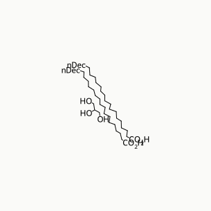 CCCCCCCCCCCCCCCCCCCCCCCCCCC(=O)O.CCCCCCCCCCCCCCCCCCCCCCCCCCC(=O)O.OCC(O)CO